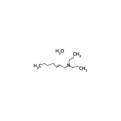 CCCCC=CCN(CCC)CCC.O